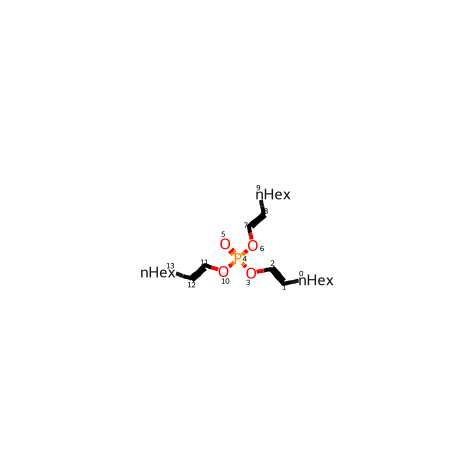 CCCCCCC=COP(=O)(OC=CCCCCCC)OC=CCCCCCC